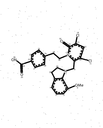 COc1cccc2c1N(Cc1c(Cl)cc(Cl)c(=O)n1CCc1ccc(C(=O)N=O)cc1)CC2